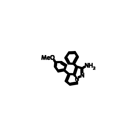 COc1ccc(-c2cccn3nc(N)c(-c4ccccc4)c23)cc1